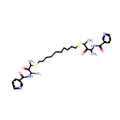 CC(NC(=O)c1cccnc1)C(=O)C(C)SCCCCCCCCCCSC(C)C(=O)C(C)NC(=O)c1cccnc1